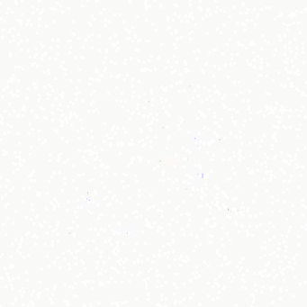 COc1ccc(-c2cc3ncccc3[nH]2)cc1NC(=O)N(S)c1cc(Cl)cc(Cl)c1